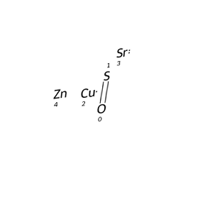 O=S.[Cu].[Sr].[Zn]